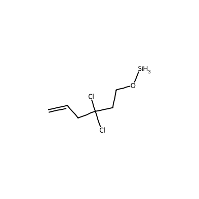 C=CCC(Cl)(Cl)CCO[SiH3]